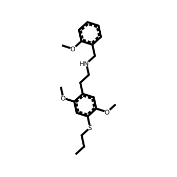 CCCSc1cc(OC)c(CCNCc2ccccc2OC)cc1OC